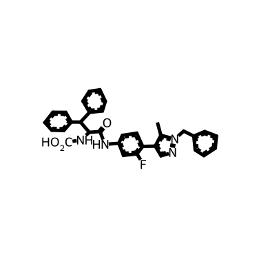 Cc1c(-c2ccc(NC(=O)C(NC(=O)O)C(c3ccccc3)c3ccccc3)cc2F)cnn1Cc1ccccc1